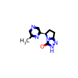 Cc1cncc([C@H]2CCc3n[nH]c(=O)n32)n1